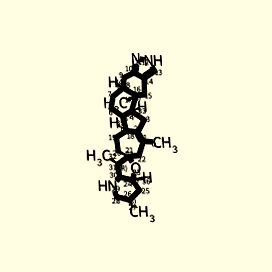 CC1=C2C[C@H]3C(CC[C@@H]4Cc5n[nH]cc5C[C@@]43C)[C@@H]2CC[C@@]2(C1)O[C@@H]1C[C@H](C)CNC1[C@H]2C